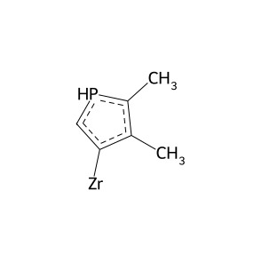 Cc1[pH]c[c]([Zr])c1C